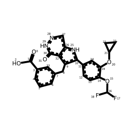 O=C(O)c1cccc(Cc2c(-c3ccc(OC(F)F)c(OC4CC4)c3)[nH]c3cn[nH]c(=O)c23)c1